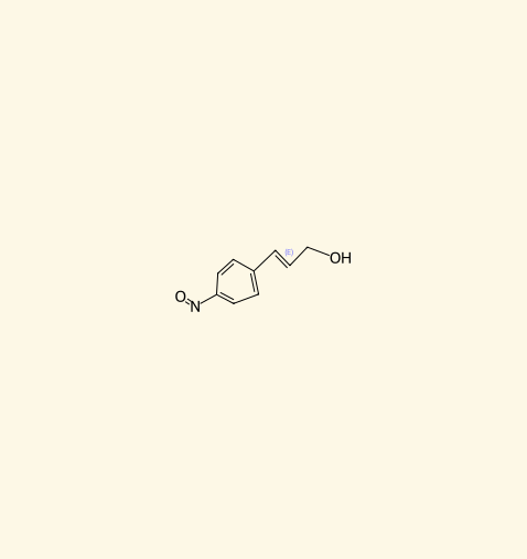 O=Nc1ccc(/C=C/CO)cc1